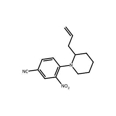 C=CCC1CCCCN1c1ccc(C#N)cc1[N+](=O)[O-]